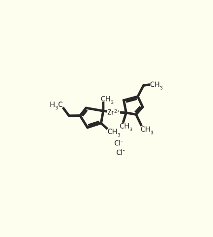 CCC1=C[C](C)([Zr+2][C]2(C)C=C(CC)C=C2C)C(C)=C1.[Cl-].[Cl-]